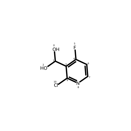 OC(O)c1c(F)ccnc1Cl